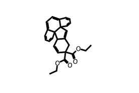 CCOC(=O)C1(C(=O)OCC)C=CC2C(=CC34C=CC=CC3=CC=C3C=CC=CC324)C1